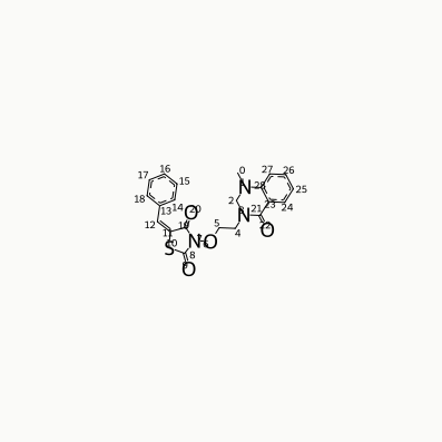 CN1CN(CCON2C(=O)SC(=Cc3ccccc3)C2=O)C(=O)c2ccccc21